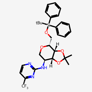 CC1(C)O[C@@H]2[C@H](O1)[C@@H](Nc1nccc(C(F)(F)F)n1)CO[C@@H]2CO[Si](c1ccccc1)(c1ccccc1)C(C)(C)C